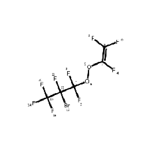 FC(F)=C(F)OOC(F)(F)C(F)(Br)C(F)(F)F